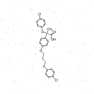 CC(Oc1ccc(Cl)cc1)(C(=O)O)c1ccc(OCCCOc2ccc(Cl)cc2)cc1